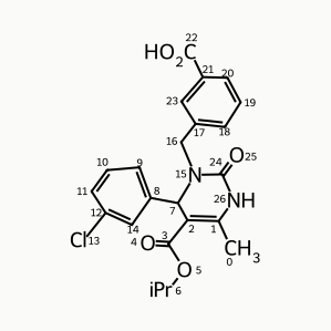 CC1=C(C(=O)OC(C)C)C(c2cccc(Cl)c2)N(Cc2cccc(C(=O)O)c2)C(=O)N1